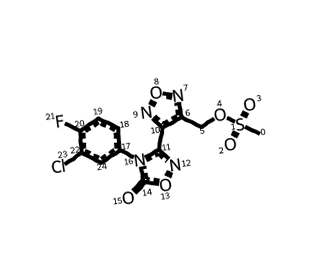 CS(=O)(=O)OCc1nonc1-c1noc(=O)n1-c1ccc(F)c(Cl)c1